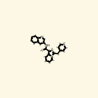 O=C(Nc1cnc2ccccc2c1)c1nc(Cc2ccncc2)n2ccccc12